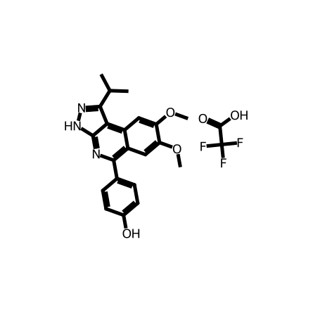 COc1cc2c(-c3ccc(O)cc3)nc3[nH]nc(C(C)C)c3c2cc1OC.O=C(O)C(F)(F)F